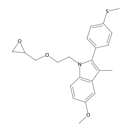 COc1ccc2c(c1)c(C)c(-c1ccc(SC)cc1)n2CCOCC1CO1